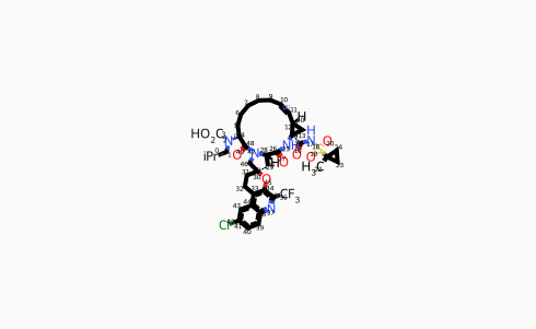 CC(C)CN(C(=O)O)[C@H]1CCCCC/C=C\[C@@H]2C[C@@]2(C(=O)NS(=O)(=O)C2(C)CC2)NC(=O)[C@@H]2C[C@]3(CCc4c(c(C(F)(F)F)nc5ccc(Cl)cc45)O3)CN2C1=O